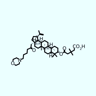 C=C(C)[C@@H]1CC[C@]2(CC(=O)CCCCN3CCOCC3)CC[C@]3(C)[C@H](CC[C@@H]4[C@@]5(C)CC[C@H](OC(=O)CC(C)(C)CC(=O)O)C(C)(C)[C@@H]5CC[C@]43C)[C@@H]12